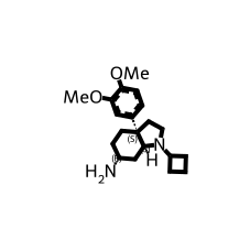 COc1ccc([C@@]23CC[C@@H](N)C[C@@H]2N(C2CCC2)CC3)cc1OC